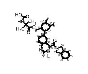 CC(C)(NC(=O)O)C(=O)OCc1cc(F)c(F)cc1-c1ccc2nc(N)nc(C(=O)N3Cc4ccccc4C3)c2c1